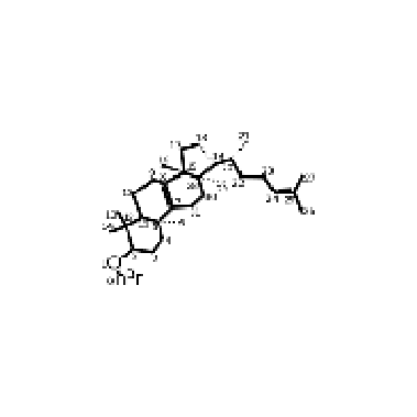 CCCOC1CC[C@]2(C)C3=C(CCC2C1(C)C)[C@]1(C)CC[C@H]([C@H](C)CCC=C(C)C)[C@@]1(C)CC3